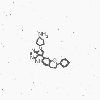 Nc1ncnc2c1c(-c1ccc3c(c1)OC(c1ccccc1)CC3)cn2[C@H]1CC[C@@H](N)CC1